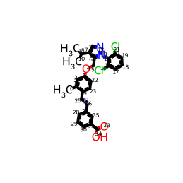 Cc1cc(OCc2c(C(C)C)cnn2-c2c(Cl)cccc2Cl)ccc1/C=C/c1cccc(C(=O)O)c1